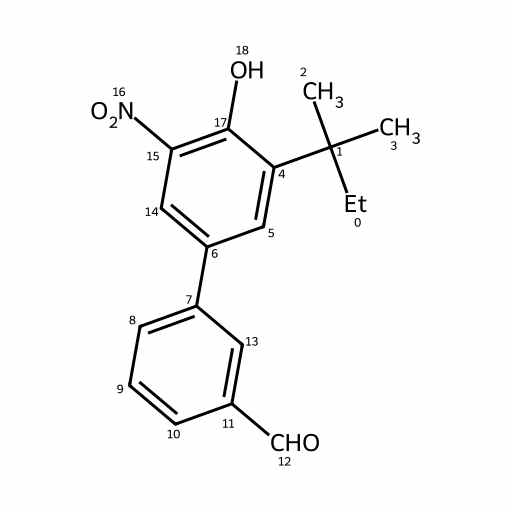 CCC(C)(C)c1cc(-c2cccc(C=O)c2)cc([N+](=O)[O-])c1O